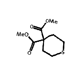 COC(=O)C1(C(=O)OC)CCSCC1